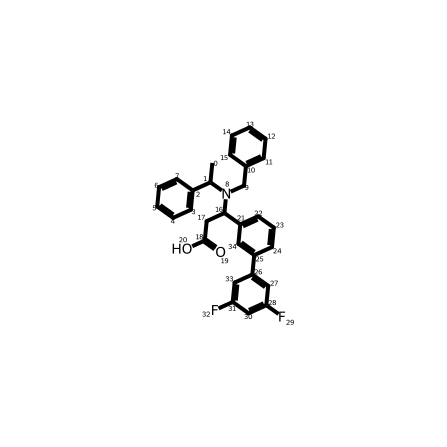 CC(c1ccccc1)N(Cc1ccccc1)C(CC(=O)O)c1cccc(-c2cc(F)cc(F)c2)c1